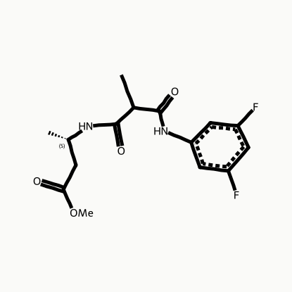 COC(=O)C[C@H](C)NC(=O)C(C)C(=O)Nc1cc(F)cc(F)c1